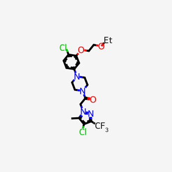 CCOCCOc1cc(N2CCN(C(=O)Cn3nc(C(F)(F)F)c(Cl)c3C)CC2)ccc1Cl